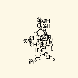 CC(C)CCC[C@@H](C)[C@H]1CC[C@H]2[C@@H]3CC=C4C[C@@H](OP(=O)(O)O)CC[C@]4(C)[C@H]3CC[C@]12C.C[S+](C)[O-]